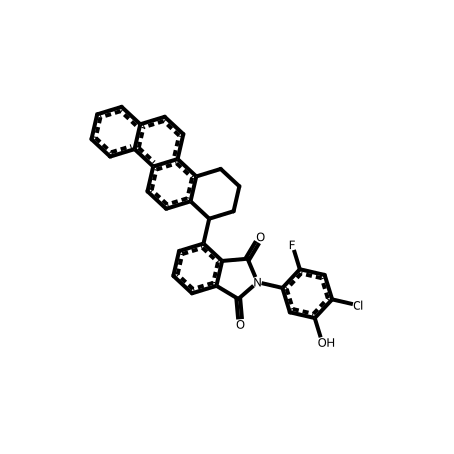 O=C1c2cccc(C3CCCc4c3ccc3c4ccc4ccccc43)c2C(=O)N1c1cc(O)c(Cl)cc1F